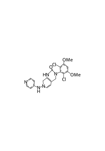 COc1cc(OC)c(Cl)c(N2CC3=C(CN(Nc4ccncc4)C=C3)NC2=O)c1Cl